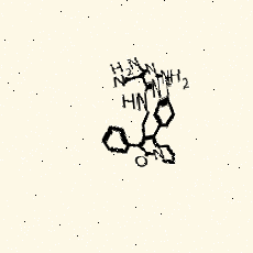 N#Cc1c(N)nc(N)nc1NCCc1c(-c2ccccc2)c(=O)n2ccccc2c1-c1ccc(F)cc1